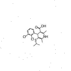 CC1=C(SC(C)C)C(c2cccc(Cl)c2Cl)C(C(=O)O)=C(C)N1